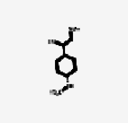 CSCC(O)[C@H]1CC[C@H](NC(=O)O)CC1